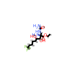 CCOC(=O)C(N)(CNC(N)=O)C(O)C(O)CCCCC(F)(F)F